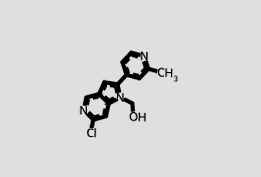 Cc1cc(-c2cc3cnc(Cl)cc3n2CO)ccn1